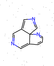 C1=CC2=CN=CC3=CN=CC23N=C1